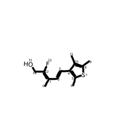 CC(C=Cc1c(C)sc(C)c1C)=C(F)CO